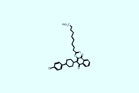 O=C(O)CCCCCCCCC(=O)OC1=C(C2CCC(c3ccc(Cl)cc3)CC2)C(=O)c2ccccc2C1=O